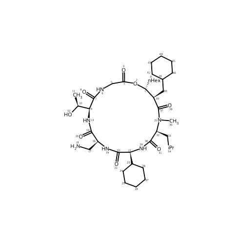 CCCCCC[C@H]1OC(=O)CNC(=O)[C@H]([C@H](C)O)NC(=O)[C@H](CN)NC(=O)[C@H](C2CCCCC2)NC(=O)[C@H](CC(C)C)N(C)C(=O)[C@@H]1CC1CCCCC1